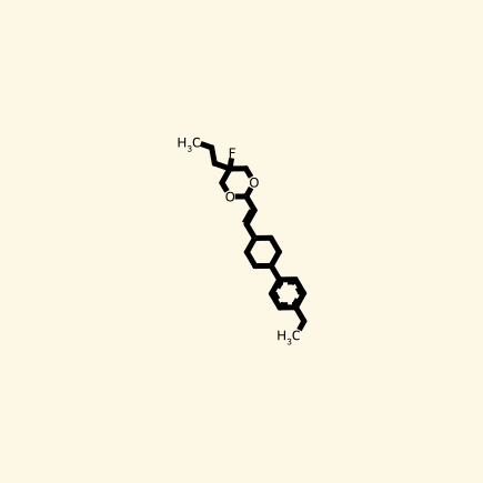 CCCC1(F)COC(/C=C/C2CCC(c3ccc(CC)cc3)CC2)OC1